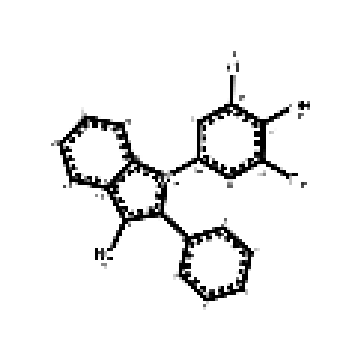 N#Cc1c(-c2ccccc2)n(-c2cc(F)c(O)c(Cl)c2)c2ccccc12